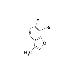 Cc1coc2c(Br)c(F)ccc12